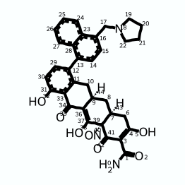 NC(=O)C1=C(O)C[C@@H]2C[C@@H]3Cc4c(-c5ccc(CN6CCCC6)c6ccccc56)ccc(O)c4C(=O)C3=C(O)[C@]2(N=O)C1=O